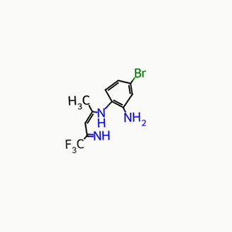 C/C(=C/C(=N)C(F)(F)F)Nc1ccc(Br)cc1N